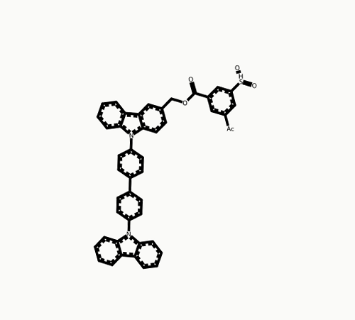 CC(=O)c1cc(C(=O)OCc2ccc3c(c2)c2ccccc2n3-c2ccc(-c3ccc(-n4c5ccccc5c5ccccc54)cc3)cc2)cc([SH](=O)=O)c1